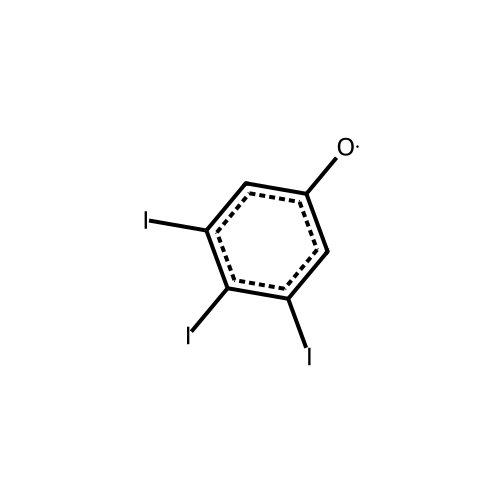 [O]c1cc(I)c(I)c(I)c1